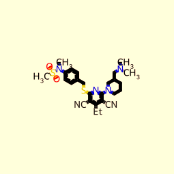 CCc1c(C#N)c(SCc2ccc(N(C)S(C)(=O)=O)cc2)nc(N2CCCC(CN(C)C)C2)c1C#N